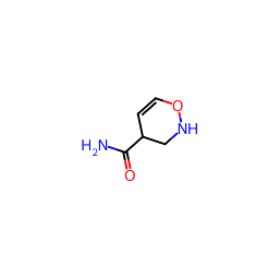 NC(=O)C1C=CONC1